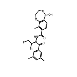 CCC(CF)N(NC(=O)c1ccc2c(c1C)OCCOB2O)C(=O)c1cc(C)cc(C)c1